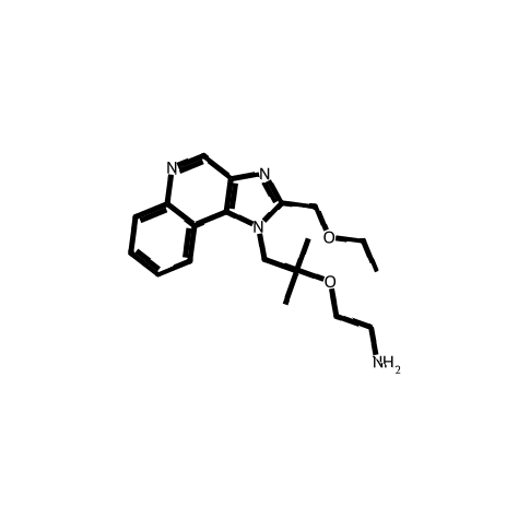 CCOCc1nc2cnc3ccccc3c2n1CC(C)(C)OCCN